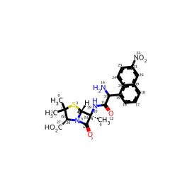 CC1(C)S[C@H]2N(C(=O)[C@]2(C)NC(=O)C(N)c2cccc3cc([N+](=O)[O-])ccc23)[C@H]1C(=O)O